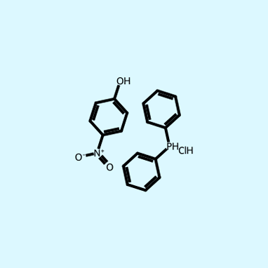 Cl.O=[N+]([O-])c1ccc(O)cc1.c1ccc(Pc2ccccc2)cc1